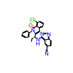 CC[C@H](Nc1ncnc2ccc(C#N)cc12)c1cc2cccc(Cl)c2c(=O)n1-c1ccccc1